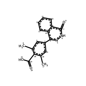 Cc1cc(-c2n[nH]c(=O)c3ccccc23)cc(C)c1C(=O)O